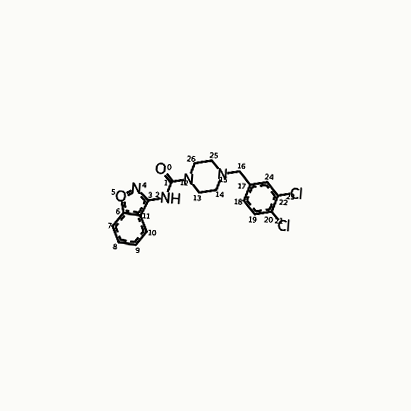 O=C(Nc1noc2ccccc12)N1CCN(Cc2ccc(Cl)c(Cl)c2)CC1